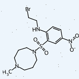 CN1CCCN(S(=O)(=O)c2cc([N+](=O)[O-])ccc2NCCBr)CCC1